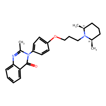 Cc1nc2ccccc2c(=O)n1-c1ccc(OCCCN2[C@H](C)CCC[C@@H]2C)cc1